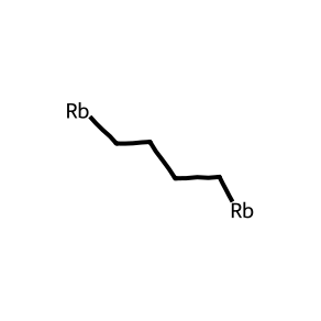 [Rb][CH2]CC[CH2][Rb]